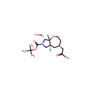 CC(=O)C[C@@H]1CCO[C@@H]2[C@@H](C1)CN(C(=O)OC(C)(C)C)[C@@H]2CO